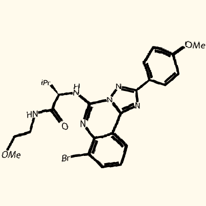 COCCNC(=O)[C@H](Nc1nc2c(Br)cccc2c2nc(-c3ccc(OC)cc3)nn12)C(C)C